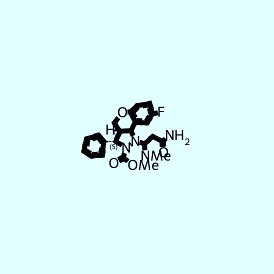 CNC(CC(N)=O)N1C2c3cc(F)ccc3OC[C@@H]2[C@@H](c2ccccc2)N1C(=O)OC